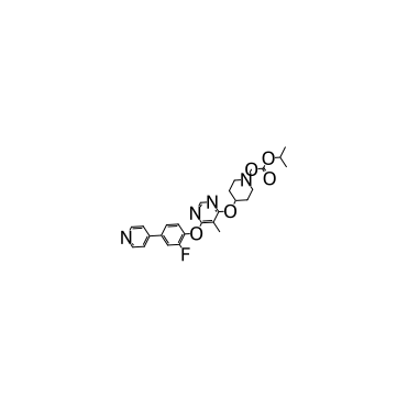 Cc1c(Oc2ccc(-c3ccncc3)cc2F)ncnc1OC1CCN(OC(=O)OC(C)C)CC1